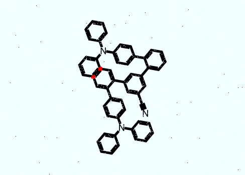 N#Cc1cc(-c2ccccc2-c2ccc(N(c3ccccc3)c3ccccc3)cc2)cc(-c2ccccc2-c2ccc(N(c3ccccc3)c3ccccc3)cc2)c1